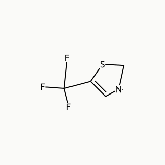 FC(F)(F)C1=C[N]CS1